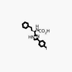 O=C(O)N[C@H](CCc1ccccc1)c1nc(-c2ccc(I)cc2)c[nH]1